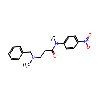 CN(CCC(=O)N(C)c1ccc([N+](=O)[O-])cc1)Cc1ccccc1